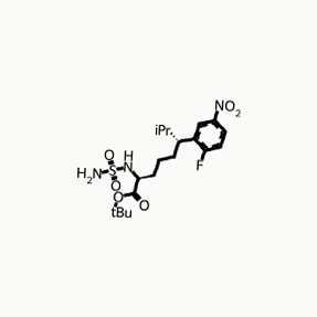 CC(C)[C@@H](CCC[C@H](NS(N)(=O)=O)C(=O)OC(C)(C)C)c1cc([N+](=O)[O-])ccc1F